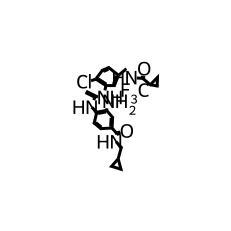 C=C(Nc1ccc(C(=O)NCC2CC2)cc1N)Nc1cc(CNC(=O)C2(C(F)(F)F)CC2)ccc1Cl